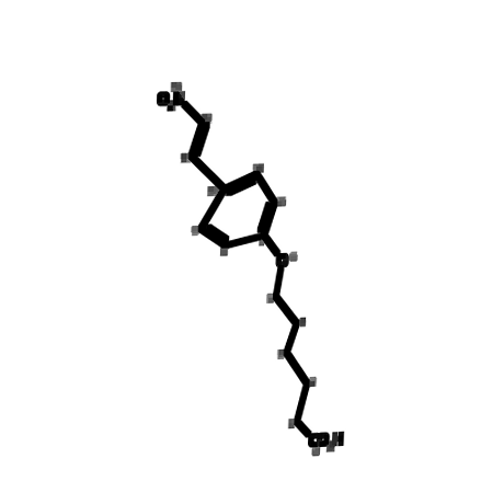 O=C(O)CCCCCOc1ccc(/C=C/[N+](=O)[O-])cc1